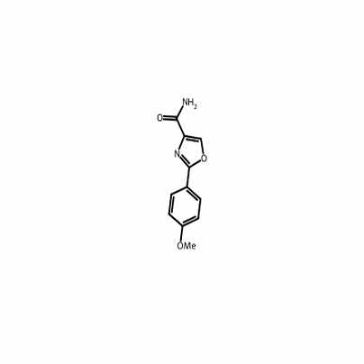 COc1ccc(-c2nc(C(N)=O)co2)cc1